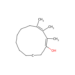 CC1=C(C)C(C)=C(O)CCCCCCCC1